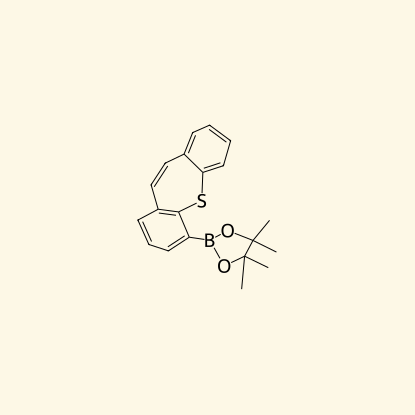 CC1(C)OB(c2cccc3c2Sc2ccccc2C=C3)OC1(C)C